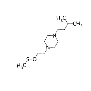 CSOCCN1CCN(CCC(C)C)CC1